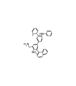 CC1C=CC=CC1c1cc(-c2cc(CN)c(N)c(-c3cccc4ccccc34)c2)ccc1Nc1ccccc1